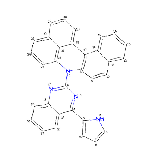 c1c[nH]c(-c2nc(N3c4ccc5ccccc5c4-c4cccc5cccc3c45)nc3ccccc23)c1